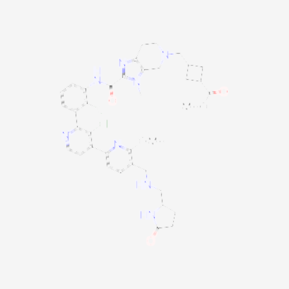 COC(=O)C1CC(CN2CCc3nc(C(=O)Nc4cccc(-c5nccc(-c6ccc(CNCC7CCC(=O)N7)c(OC)n6)c5Cl)c4Cl)n(C)c3C2)C1